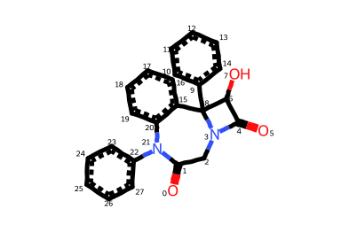 O=C1CN2C(=O)C(O)C2(c2ccccc2)c2ccccc2N1c1ccccc1